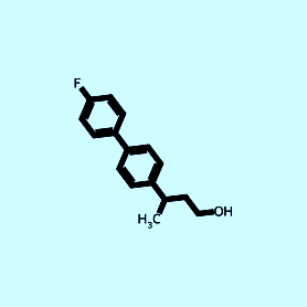 CC(CCO)c1ccc(-c2ccc(F)cc2)cc1